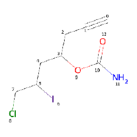 C#CCC(CC(I)CCl)OC(N)=O